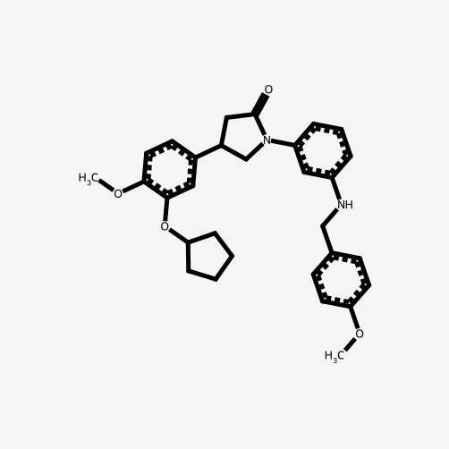 COc1ccc(CNc2cccc(N3CC(c4ccc(OC)c(OC5CCCC5)c4)CC3=O)c2)cc1